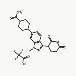 Cn1nc(C2CCC(=O)NC2=O)c2ccc(C3CCN(C(N)=O)CC3)cc21.O=C(O)C(F)(F)F